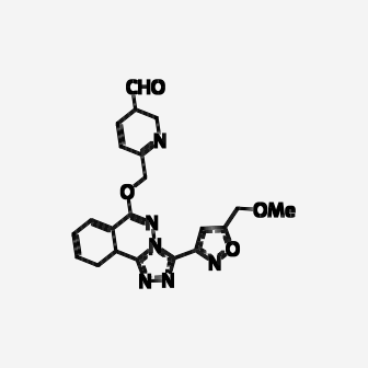 COCc1cc(-c2nnc3n2N=C(OCC2=NCC(C=O)C=C2)C2=CC=CCC23)no1